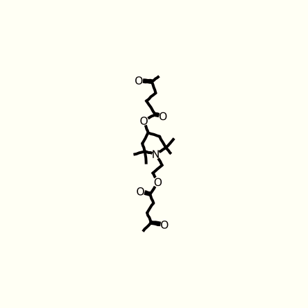 CC(=O)CCC(=O)OCCN1C(C)(C)CC(OC(=O)CCC(C)=O)CC1(C)C